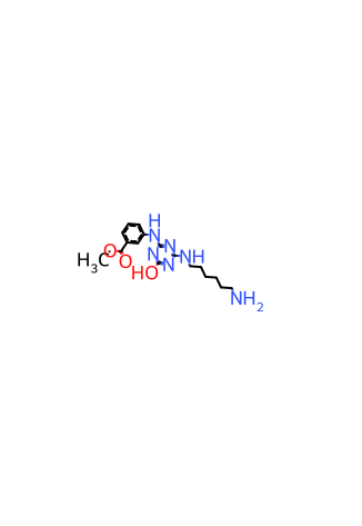 COC(=O)c1cccc(Nc2nc(O)nc(NCCCCCCN)n2)c1